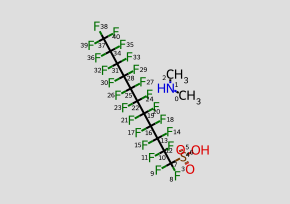 CNC.O=S(=O)(O)C(F)(F)C(F)(F)C(F)(F)C(F)(F)C(F)(F)C(F)(F)C(F)(F)C(F)(F)C(F)(F)C(F)(F)C(F)(F)F